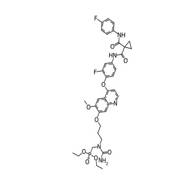 CCOP(=O)(CN(CCCOc1cc2nccc(Oc3ccc(NC(=O)C4(C(=O)Nc5ccc(F)cc5)CC4)cc3F)c2cc1OC)C(N)=O)OCC